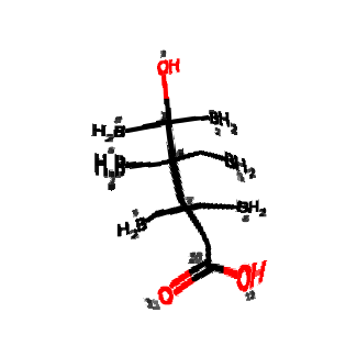 BC(B)(O)C(B)(B)C(B)(B)C(=O)O